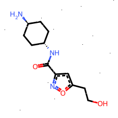 N[C@H]1CC[C@H](NC(=O)c2cc(CCO)on2)CC1